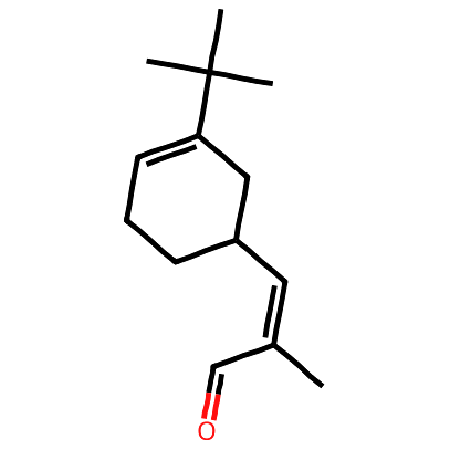 CC(C=O)=CC1CCC=C(C(C)(C)C)C1